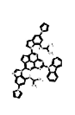 CC(C)Nc1cc(-n2cccc2)cc2ccn(C3=NC4=NC(n5c6ccccc6c6ccccc65)=NC5=NC(n6cnc7cc(-n8cccc8)cc(NC(C)C)c76)=C6C=CC3=C6C45)c12